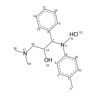 Cc1ccc(N(C)C(c2ccccc2)C(O)CN(C)C)cc1.Cl